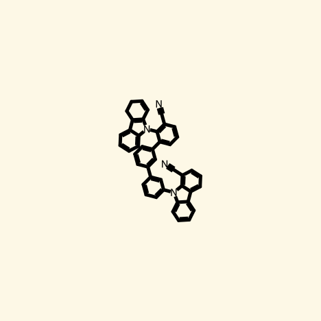 N#Cc1cccc(-c2cccc(-c3cccc(-n4c5ccccc5c5cccc(C#N)c54)c3)c2)c1-n1c2c(c3ccccc31)CCC=C2